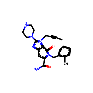 CC#CCn1c(N2CCNCC2)nc2cc(C(N)=O)n(Cc3ccccc3C#N)c(=O)c21